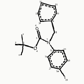 CC(C)(C)OC(=O)N(Cc1ccccc1)c1ccc(I)cc1